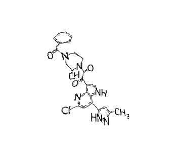 Cc1cc(-c2cc(Cl)nc3c(C(=O)C(=O)N4CCN(C(=O)c5ccccc5)CC4C)c[nH]c23)[nH]n1